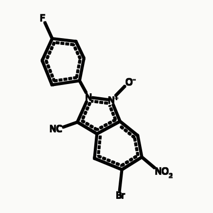 N#Cc1c2cc(Br)c([N+](=O)[O-])cc2[n+]([O-])n1-c1ccc(F)cc1